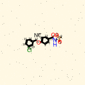 CS(=O)(=O)NC(=O)c1ccc(OCc2cccc(Cl)c2)c(C#N)c1